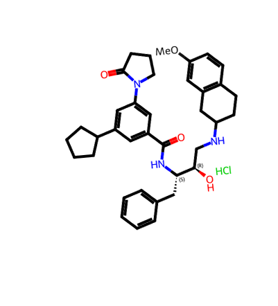 COc1ccc2c(c1)CC(NC[C@@H](O)[C@H](Cc1ccccc1)NC(=O)c1cc(C3CCCC3)cc(N3CCCC3=O)c1)CC2.Cl